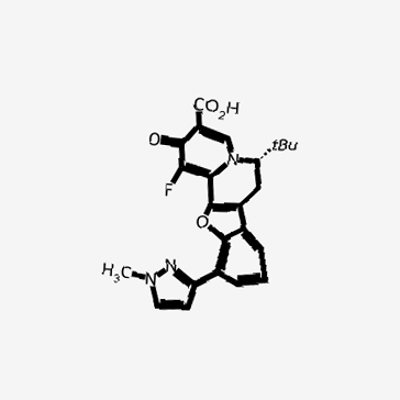 Cn1ccc(-c2cccc3c4c(oc23)-c2c(F)c(=O)c(C(=O)O)cn2[C@H](C(C)(C)C)C4)n1